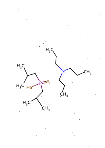 CC(C)CP(=S)(S)CC(C)C.CCCN(CCC)CCC